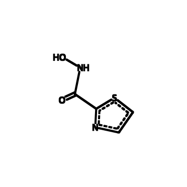 O=C(NO)c1nccs1